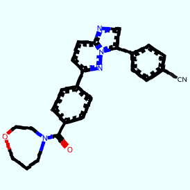 N#Cc1ccc(-c2cnc3ccc(-c4ccc(C(=O)N5CCCOCC5)cc4)nn23)cc1